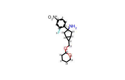 NC1(c2ccc([N+](=O)[O-])cc2F)CC2C(COC3CCCCO3)C2C1